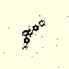 Cc1cn(-c2ccc(N3C[C@@H](C)O[C@@H](C)C3)cc2)c(=O)c2ccnc(-c3ccc(OC(F)(F)F)cc3)c12